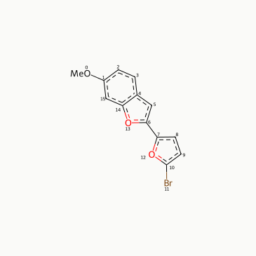 COc1ccc2cc(-c3ccc(Br)o3)oc2c1